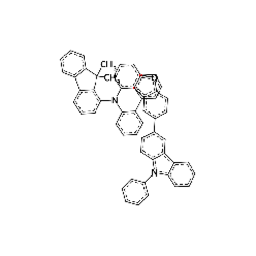 CC1(C)c2ccccc2-c2cccc(N(c3ccccc3-c3ccccc3)c3cccc4oc5ccc(-c6ccc7c(c6)c6ccccc6n7-c6ccccc6)cc5c34)c21